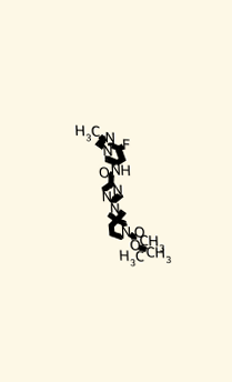 Cc1cn2cc(NC(=O)c3cnc(N4CC5(CCCN(C(=O)OC(C)(C)C)C5)C4)cn3)cc(F)c2n1